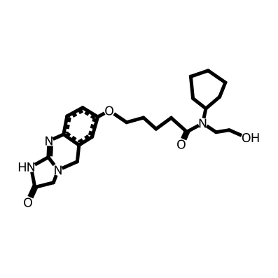 O=C1CN2Cc3cc(OCCCCC(=O)N(CCO)C4CCCCC4)ccc3N=C2N1